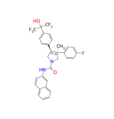 C[C@]1(c2ccc(F)cc2)CN(C(=O)Nc2ccc3ccccc3c2)C[C@H]1c1ccc(C(O)(C(F)(F)F)C(F)(F)F)cc1